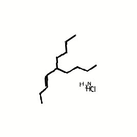 CCC=CC(CCCC)CCCC.Cl.N